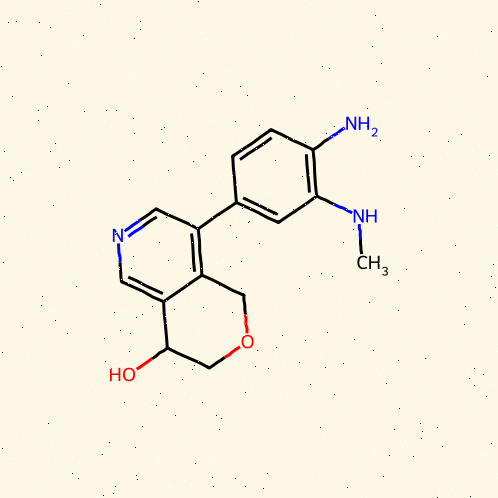 CNc1cc(-c2cncc3c2COCC3O)ccc1N